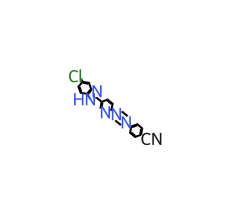 N#Cc1ccc(N2CCN(c3ccc(-c4nc5cc(Cl)ccc5[nH]4)cn3)CC2)cc1